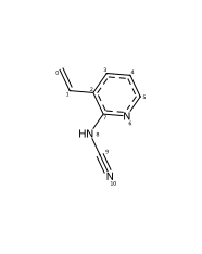 C=Cc1cccnc1NC#N